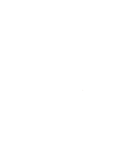 O=[C]Cc1ccc(OCBr)cc1